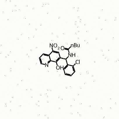 CCCCC(=O)NC(c1ccccc1Cl)c1cc([N+](=O)[O-])c2cccnc2c1O